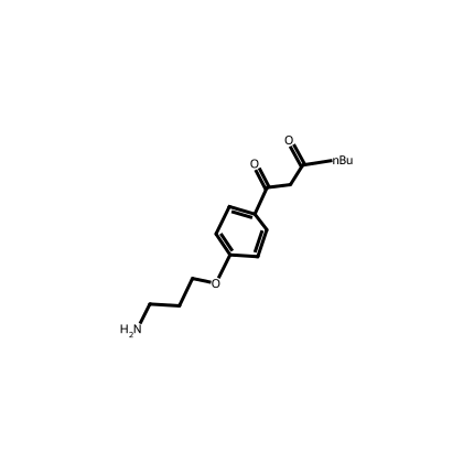 CCCCC(=O)CC(=O)c1ccc(OCCCN)cc1